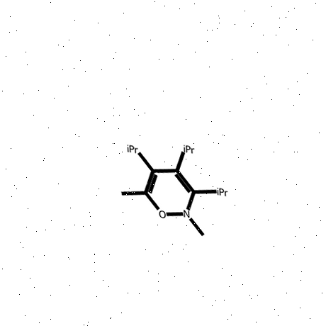 CC1=C(C(C)C)C(C(C)C)=C(C(C)C)N(C)O1